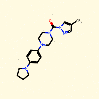 O=C(N1CCN(c2ccc(N3CCCC3)cc2)CC1)n1cc(C(F)(F)F)cn1